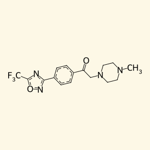 CN1CCN(CC(=O)c2ccc(-c3noc(C(F)(F)F)n3)cc2)CC1